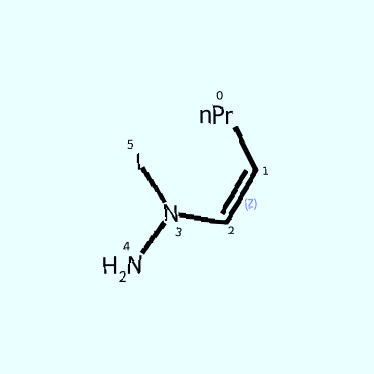 CCC/C=C\N(N)I